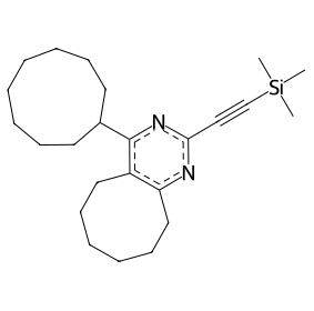 C[Si](C)(C)C#Cc1nc2c(c(C3CCCCCCCC3)n1)CCCCCC2